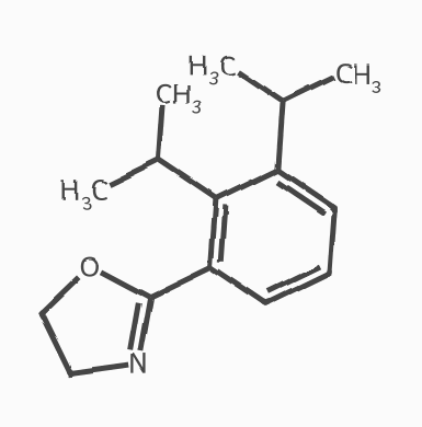 CC(C)c1cccc(C2=NCCO2)c1C(C)C